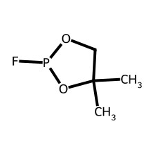 CC1(C)COP(F)O1